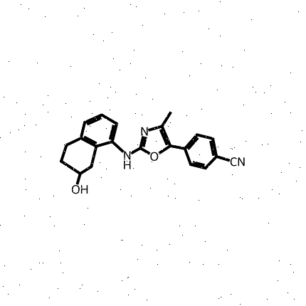 Cc1nc(Nc2cccc3c2CC(O)CC3)oc1-c1ccc(C#N)cc1